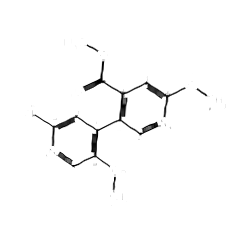 COC(=O)c1cc(OC)ncc1-c1cc(Cl)ncc1OC